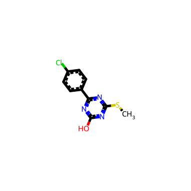 CSc1nc(O)nc(-c2ccc(Cl)cc2)n1